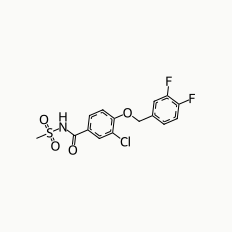 CS(=O)(=O)NC(=O)c1ccc(OCc2ccc(F)c(F)c2)c(Cl)c1